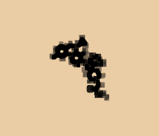 Cc1ccc(CN(c2ncnc(NCC3(c4cnn[nH]4)CCN(CC(N)=O)CC3)c2F)C2CC2)cc1